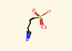 N#CCS([O])(=O)=O